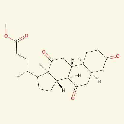 COC(=O)CC[C@@H](C)C1CC[C@H]2[C@@H]3C(=O)C[C@@H]4CC(=O)CC[C@]4(C)[C@H]3CC(=O)[C@]12C